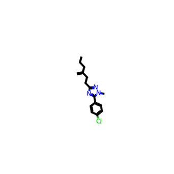 C=C(CCC)CCc1nc(-c2ccc(Cl)cc2)n(C)n1